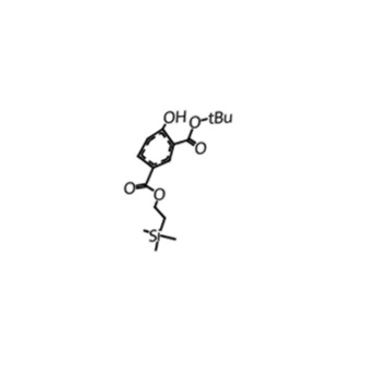 CC(C)(C)OC(=O)c1cc(C(=O)OCC[Si](C)(C)C)ccc1O